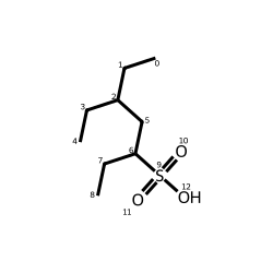 CCC(CC)CC(CC)S(=O)(=O)O